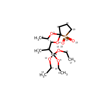 CCOC1(OCC(C)[Si](OCC)(OCC)OCC)CCCS1(=O)=O